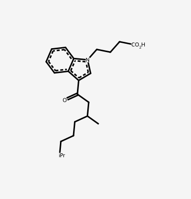 CC(C)CCCC(C)CC(=O)c1cn(CCCC(=O)O)c2ccccc12